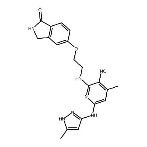 [C-]#[N+]c1c(C)cc(Nc2cc(C)[nH]n2)nc1NCCOc1ccc2c(c1)CNC2=O